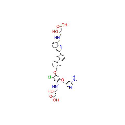 CNc1cncc(COc2cc(OCC3=C(C)C(c4cccc(-c5cnc6c(CNC[C@@H](O)CC(=O)O)cccc6c5)c4C)=CCC3)c(Cl)cc2CNC[C@@H](O)CC(=O)O)c1